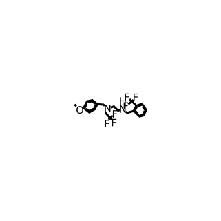 COc1ccc(CN(CCNCc2ccccc2C(F)(F)F)CC(F)(F)F)cc1